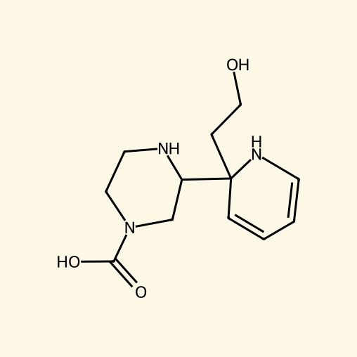 O=C(O)N1CCNC(C2(CCO)C=CC=CN2)C1